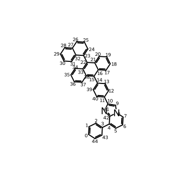 c1ccc(-c2cccn3cc(-c4ccc(-c5c6ccccc6c(-c6cccc7ccccc67)c6ccccc56)cc4)nc23)cc1